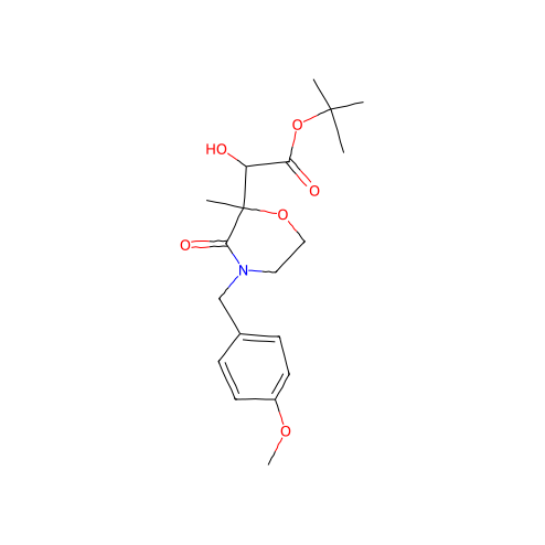 COc1ccc(CN2CCOC(C)(C(O)C(=O)OC(C)(C)C)C2=O)cc1